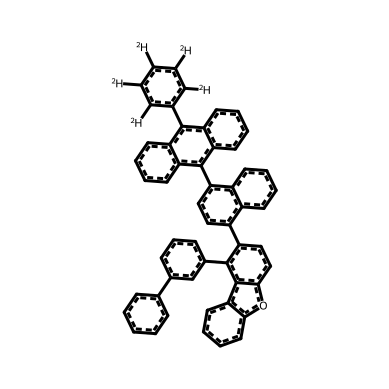 [2H]c1c([2H])c([2H])c(-c2c3ccccc3c(-c3ccc(-c4ccc5oc6ccccc6c5c4-c4cccc(-c5ccccc5)c4)c4ccccc34)c3ccccc23)c([2H])c1[2H]